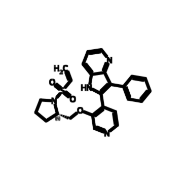 C=CS(=O)(=O)N1CCC[C@H]1COc1cnccc1-c1[nH]c2cccnc2c1-c1ccccc1